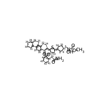 COC(=O)N(O)Cc1ccc(-c2ccc(C3=Cc4ccc5c(c4CC3)CCc3ccccc3-5)s2)cc1.NC(=O)CC1C=CC=CS1(=O)=O